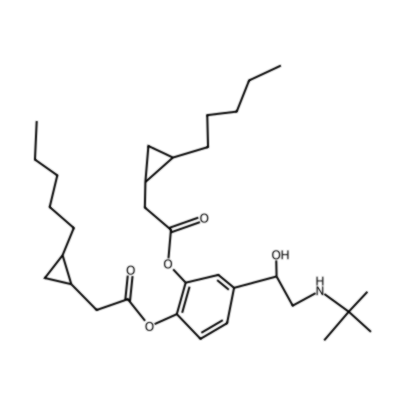 CCCCCC1CC1CC(=O)Oc1ccc(C(O)CNC(C)(C)C)cc1OC(=O)CC1CC1CCCCC